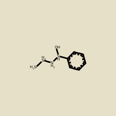 O[SiH]([SiH2][SiH2][SiH3])c1ccccc1